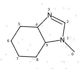 CN1C=NC2CCCCC21